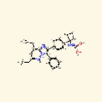 CCc1cc(CC)c2nc(-c3ccc(C4(NC(=O)O)CCC4)cc3)c(-c3ccccc3)n2n1